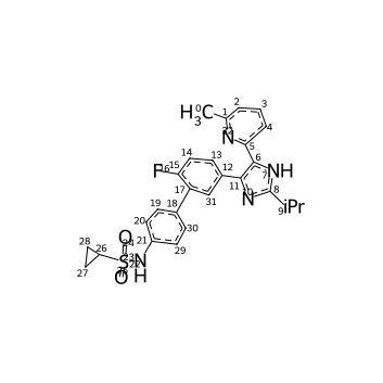 Cc1cccc(-c2[nH]c(C(C)C)nc2-c2ccc(F)c(-c3ccc(NS(=O)(=O)C4CC4)cc3)c2)n1